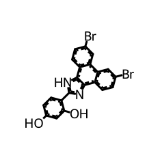 Oc1ccc(-c2nc3c4ccc(Br)cc4c4cc(Br)ccc4c3[nH]2)c(O)c1